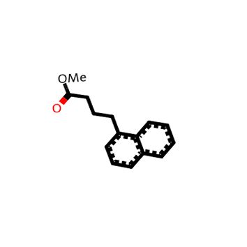 COC(=O)CCCc1cccc2ccccc12